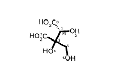 O=C(O)[C@H](O)C(O)(CO)C(=O)O